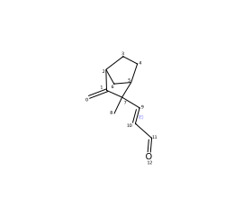 C=C1C2CCC(C2)C1(C)/C=C/C=O